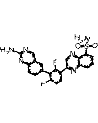 Nc1ncc2cc(-c3c(F)ccc(-c4cnc5c(S(N)(=O)=O)cccc5n4)c3F)ccc2n1